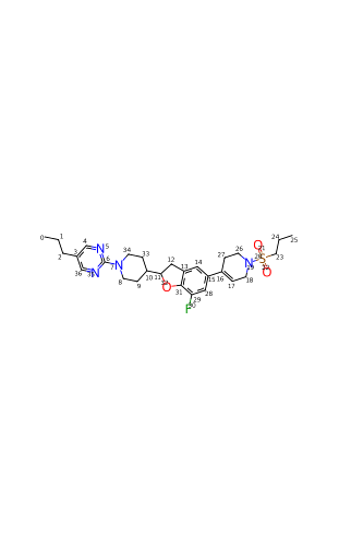 CCCc1cnc(N2CCC(C3Cc4cc(C5=CCN(S(=O)(=O)CCC)CC5)cc(F)c4O3)CC2)nc1